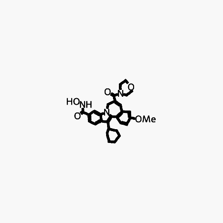 COc1ccc2c(c1)C=C(C(=O)N1CCOCC1)Cn1c-2c(C2CCCCC2)c2ccc(C(=O)NO)cc21